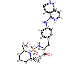 COC(=O)[C@H](Cc1ccc(Nc2nccc3cnccc23)cc1)NS(=O)(=O)N1C(C)CCCC1C